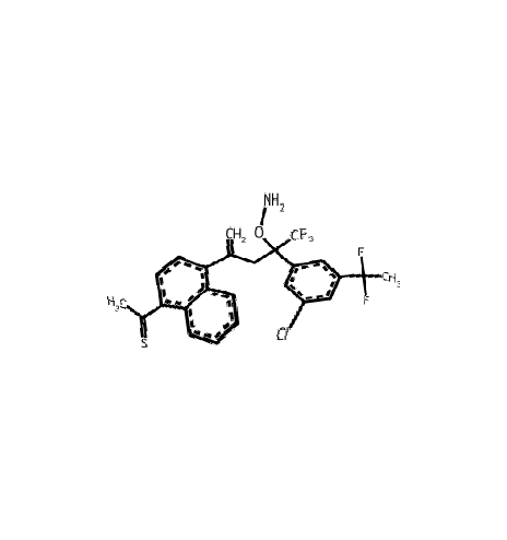 C=C(CC(ON)(c1cc(Cl)cc(C(C)(F)F)c1)C(F)(F)F)c1ccc(C(C)=S)c2ccccc12